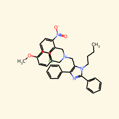 CCCCn1c(-c2ccccc2)nc(-c2ccccc2)c1CN(Cc1ccc(OC)cc1)Cc1c(Cl)cccc1[N+](=O)[O-]